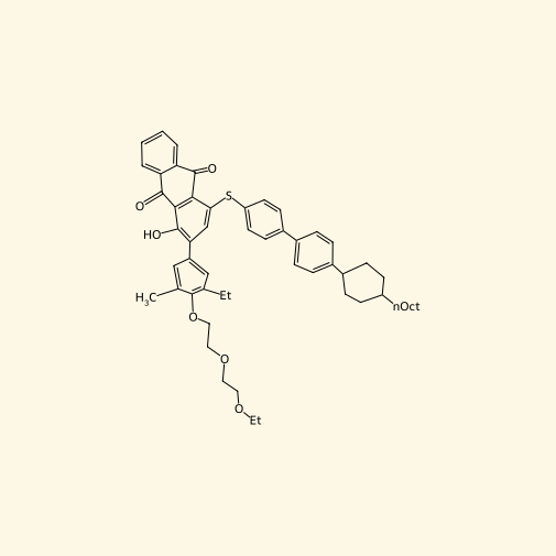 CCCCCCCCC1CCC(c2ccc(-c3ccc(Sc4cc(-c5cc(C)c(OCCOCCOCC)c(CC)c5)c(O)c5c4C(=O)c4ccccc4C5=O)cc3)cc2)CC1